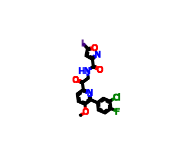 COc1ccc(C(=O)CNC(=O)c2cc(I)on2)nc1-c1ccc(F)c(Cl)c1